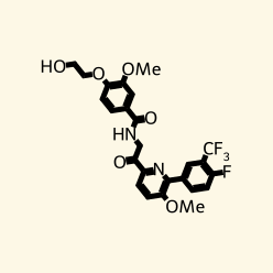 COc1cc(C(=O)NCC(=O)c2ccc(OC)c(-c3ccc(F)c(C(F)(F)F)c3)n2)ccc1OCCO